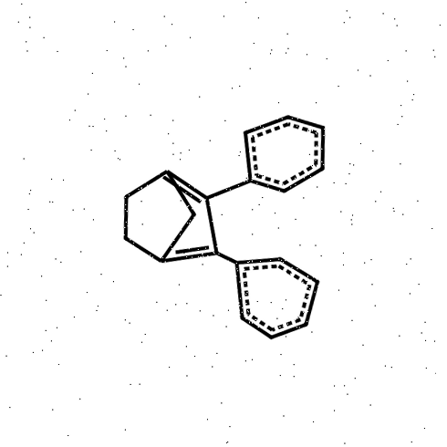 c1ccc(C2=C3CCC(=C2c2ccccc2)C3)cc1